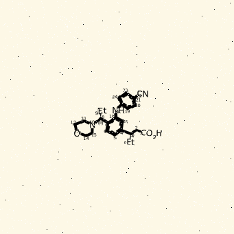 CC[C@@H](CC(=O)O)c1ccc([C@@H](CC)N2CCOCC2)c(Nc2ccc(C#N)cc2)c1